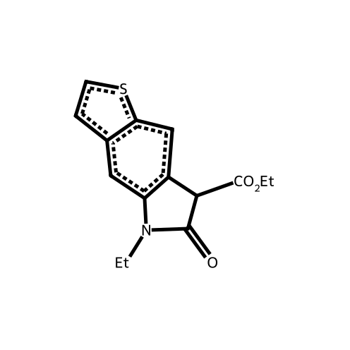 CCOC(=O)C1C(=O)N(CC)c2cc3ccsc3cc21